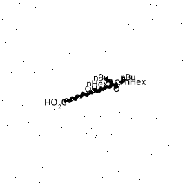 CCCCCCC(CCCC)COC(=O)C(CCCCCCCC(O)CCCCCCCCC(=O)O)CC(CCCC)CCCCCC